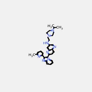 Cc1cccc(-c2nc3ccccn3c2-c2ccc3ncc(NCCN4CCN(C(C)C)CC4)cc3n2)n1